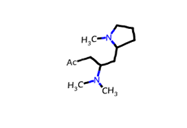 CC(=O)CC(CC1CCCN1C)N(C)C